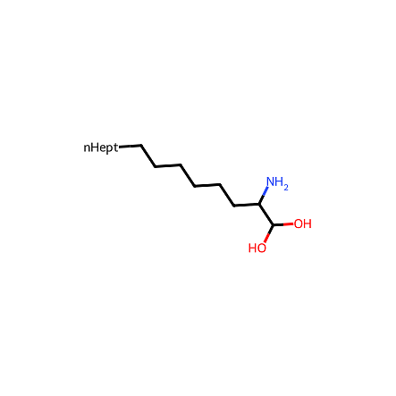 CCCCCCCCCCCCCC(N)C(O)O